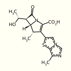 Cc1ncn2cc(C3=C(C(=O)O)N4C(=O)[C@H]([C@@H](C)O)[C@H]4[C@H]3C)sc12